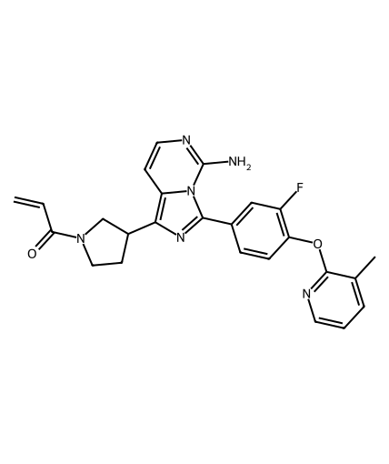 C=CC(=O)N1CCC(c2nc(-c3ccc(Oc4ncccc4C)c(F)c3)n3c(N)nccc23)C1